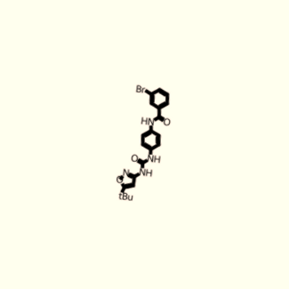 CC(C)(C)c1cc(NC(=O)Nc2ccc(NC(=O)c3cccc(Br)c3)cc2)no1